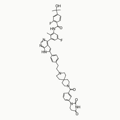 Cc1c(NC(=O)c2ccc(C(C)(C)O)cc2F)cc(F)cc1-c1ncnc2[nH]c(-c3ccc(CCN4CCC5(CC4)CCN(C(=O)c4cccc(N6CCC(=O)NC6=O)c4)CC5)cc3)cc12